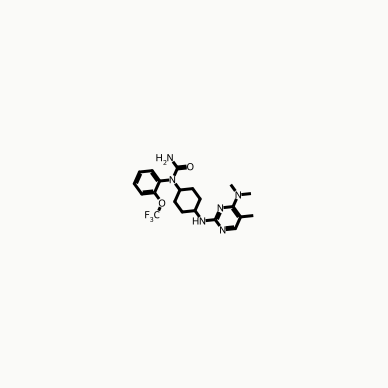 Cc1cnc(NC2CCC(N(C(N)=O)c3ccccc3OC(F)(F)F)CC2)nc1N(C)C